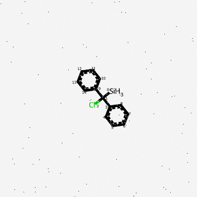 [SiH3]C(Cl)(c1ccccc1)c1ccccc1